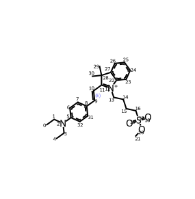 CCN(CC)c1ccc(/C=C/C2=[N+](CCCCS(=O)(=O)OC)c3ccccc3C2(C)C)cc1